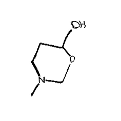 CN1CC[C](O)OC1